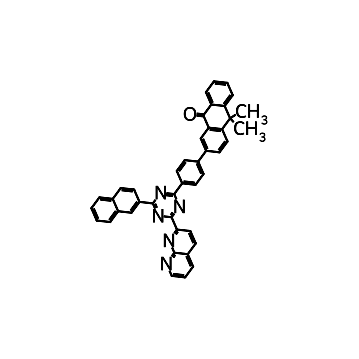 CC1(C)c2ccccc2C(=O)c2cc(-c3ccc(-c4nc(-c5ccc6ccccc6c5)nc(-c5ccc6cccnc6n5)n4)cc3)ccc21